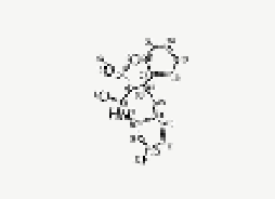 COC(=O)[C@H]1C(=O)Nc2cc(F)ccc2C[C@@H]1c1ccccc1